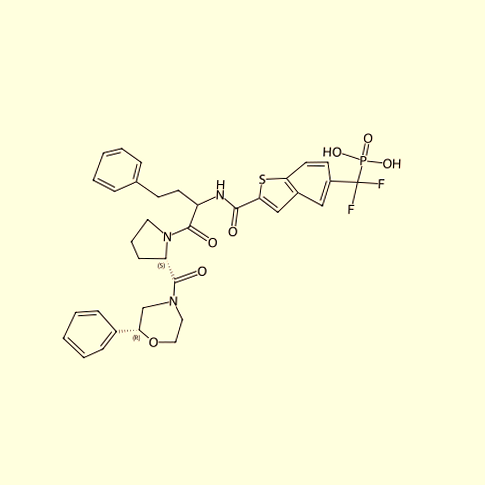 O=C(NC(CCc1ccccc1)C(=O)N1CCC[C@H]1C(=O)N1CCO[C@H](c2ccccc2)C1)c1cc2cc(C(F)(F)P(=O)(O)O)ccc2s1